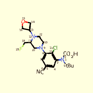 CC(C)(C)N(C(=O)O)c1cc(C#N)cc(N2CCN(C3COC3)C(CF)C2)c1Cl